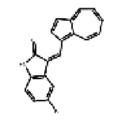 O=C1Nc2ccc(Br)cc2C1=Cc1ccc2cccccc1-2